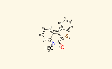 Cn1c(=O)c2sc3ccccc3c2c2ccccc21